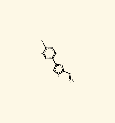 C=Cc1nc(-c2ccc(F)cc2)cs1